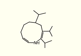 CC(C)/C1=C(\C(C)C)N/C=C\CCCC(C(C)C)C1